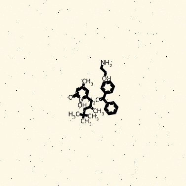 C=C(c1ccccc1)c1ccccc1.Cc1cc(CC(C)CC(C)(C)C)n(O)c(=O)c1.NCCO